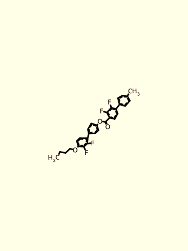 CCCCOc1ccc(-c2ccc(OC(=O)c3ccc(-c4ccc(C)cc4)c(F)c3F)cc2)c(F)c1F